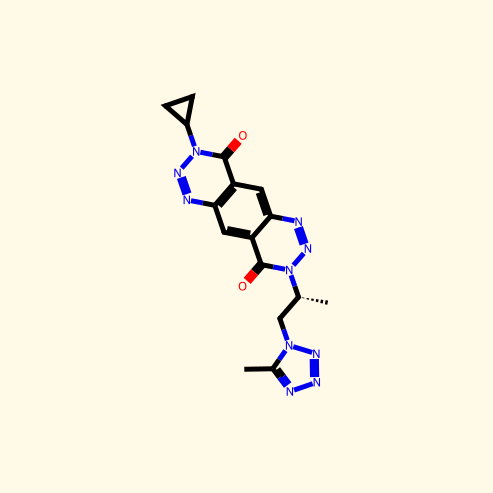 Cc1nnnn1C[C@@H](C)n1nnc2cc3c(=O)n(C4CC4)nnc3cc2c1=O